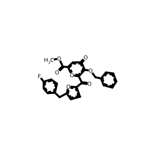 COC(=O)c1cc(=O)c(OCc2ccccc2)c(C(=O)c2ccc(Cc3ccc(F)cc3)o2)o1